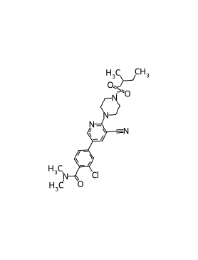 CCC(C)S(=O)(=O)N1CCN(c2ncc(-c3ccc(C(=O)N(C)C)c(Cl)c3)cc2C#N)CC1